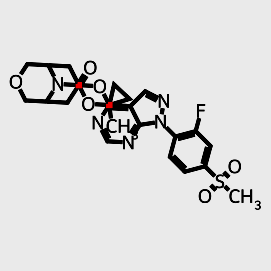 CC1(OC(=O)N2C3COCC2CC(Oc2ncnc4c2cnn4-c2ccc(S(C)(=O)=O)cc2F)C3)CC1